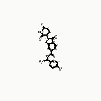 O=C1CCC(N2Cc3cc(C(=O)NC(c4ccc(Cl)cn4)C(F)(F)F)ccc3C2=O)C(=O)N1